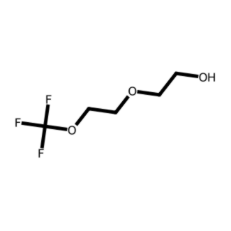 OCCOCCOC(F)(F)F